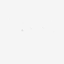 COc1ccc(Nc2cccc(C)c2)nc1C(=O)NCC(C)(C)C